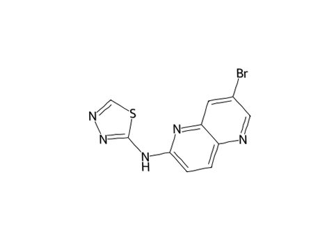 Brc1cnc2ccc(Nc3nncs3)nc2c1